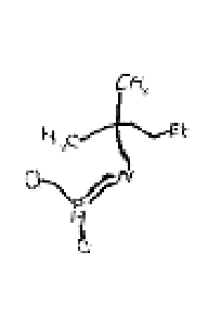 CCC(C)(C)N=[PH](Cl)Cl